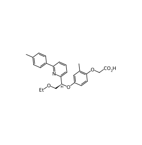 CCOC[C@H](Oc1ccc(OCC(=O)O)c(C)c1)c1cccc(-c2ccc(C)cc2)n1